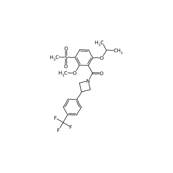 COc1c(S(C)(=O)=O)ccc(OC(C)C)c1C(=O)N1CC(c2ccc(C(F)(F)F)cc2)C1